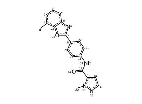 Cc1cccc2nc(-c3ccc(NC(=O)c4ccnn4C)cc3)oc12